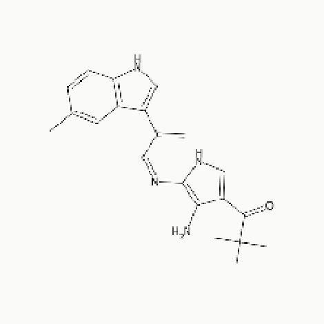 C=C(/C=N\c1[nH]cc(C(=O)C(C)(C)C)c1N)c1c[nH]c2ccc(C)cc12